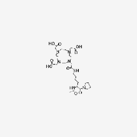 CC(=O)N[C@@H](CCCCNC(=O)CN1CCN(CC(=O)O)CCN(CC(=O)O)CCN(CC(=O)O)CC1)C(=O)N1CCCC1